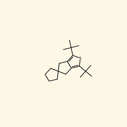 CC(C)(C)c1sc(C(C)(C)C)c2c1CC1(CCCC1)C2